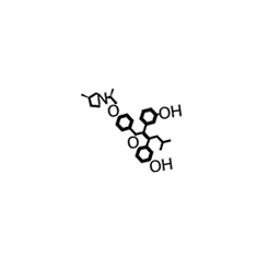 CC(C)CC1=C(c2cccc(O)c2)C(c2ccc(OC[C@H](C)N3CC[C@@H](C)C3)cc2)Oc2ccc(O)cc21